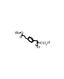 CCO[C@@H](Cc1ccc(CCC(=O)OC(C)(C)C)cc1)C(=O)O